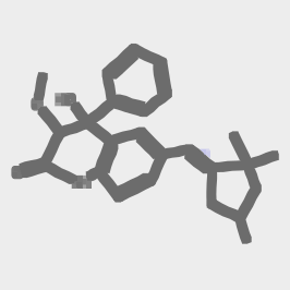 COC1C(=O)Nc2ccc(/C=C3\CC(C)CC3(C)C)cc2C1(O)c1ccccc1